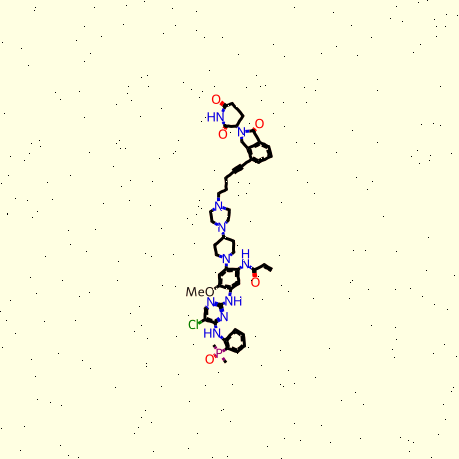 C=CC(=O)Nc1cc(Nc2ncc(Cl)c(Nc3ccccc3P(C)(C)=O)n2)c(OC)cc1N1CCC(N2CCN(CCCC#Cc3cccc4c3CN(C3CCC(=O)NC3=O)C4=O)CC2)CC1